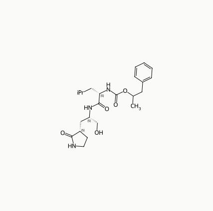 CC(C)C[C@H](NC(=O)OC(C)Cc1ccccc1)C(=O)N[C@H](CO)C[C@@H]1CCNC1=O